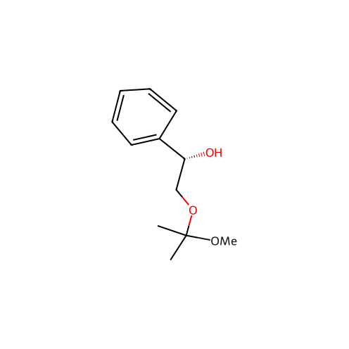 COC(C)(C)OC[C@@H](O)c1ccccc1